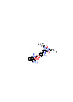 CCCn1c(=O)c2[nH]c(-c3ccc(OCC(=O)NC(Cc4ccccc4)C4(O)CCCNC4)cc3)cc2n(CCC)c1=O